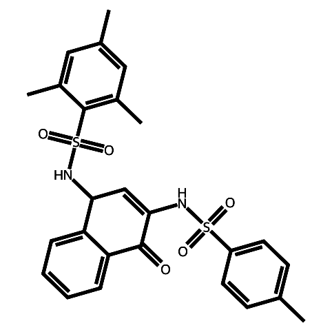 Cc1ccc(S(=O)(=O)NC2=CC(NS(=O)(=O)c3c(C)cc(C)cc3C)c3ccccc3C2=O)cc1